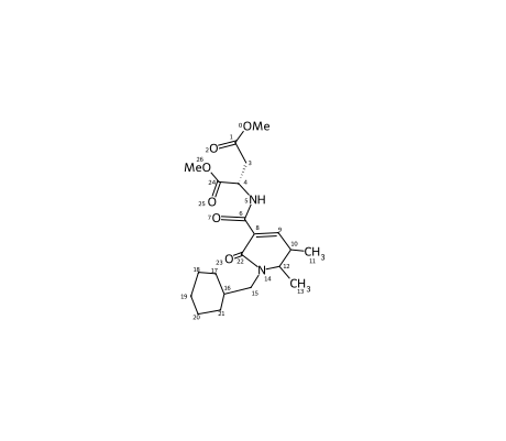 COC(=O)C[C@H](NC(=O)C1=CC(C)C(C)N(CC2CCCCC2)C1=O)C(=O)OC